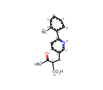 CCCCC(=O)C(Cc1ccc(-c2ccccc2C#N)nc1)C(=O)O